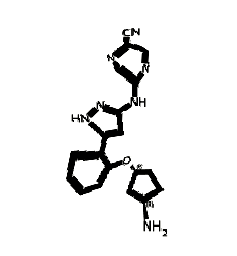 N#Cc1cnc(Nc2cc(-c3ccccc3O[C@@H]3CC[C@@H](N)C3)[nH]n2)cn1